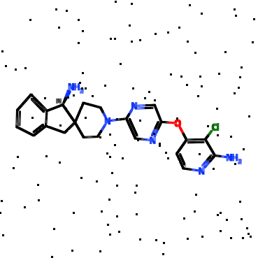 Nc1nccc(Oc2cnc(N3CCC4(CC3)Cc3ccccc3[C@H]4N)cn2)c1Cl